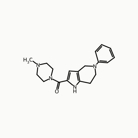 CN1CCN(C(=O)c2cc3c([nH]2)CCN(c2ccccc2)C3)CC1